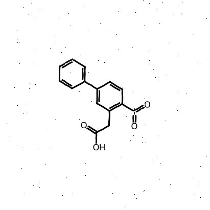 O=C(O)Cc1cc(-c2ccccc2)ccc1I(=O)=O